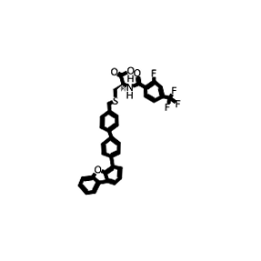 O=C(N[C@@H](CSCc1ccc(-c2ccc(-c3cccc4c3oc3ccccc34)cc2)cc1)C(=O)O)c1ccc(C(F)(F)F)cc1F